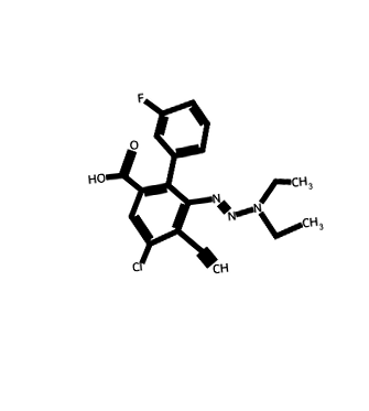 C#Cc1c(Cl)cc(C(=O)O)c(-c2cccc(F)c2)c1N=NN(CC)CC